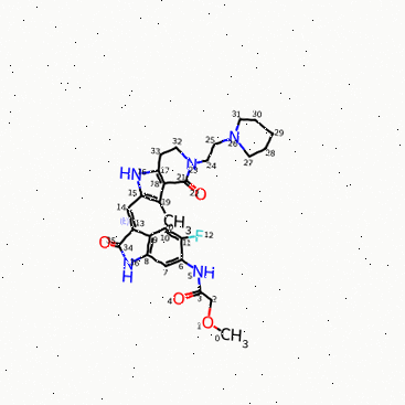 COCC(=O)Nc1cc2c(cc1F)/C(=C\c1[nH]c3c(c1C)C(=O)N(CCN1CCCCC1)CC3)C(=O)N2